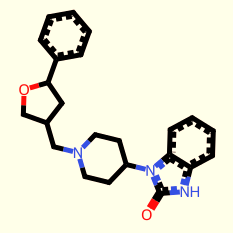 O=c1[nH]c2ccccc2n1C1CCN(CC2COC(c3ccccc3)C2)CC1